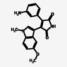 COc1ccc2c(c1)c(C1=C(c3cccc(N)c3)C(=O)NC1=O)cn2C